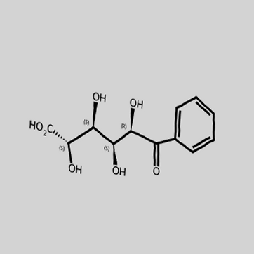 O=C(O)[C@@H](O)[C@@H](O)[C@H](O)[C@@H](O)C(=O)c1ccccc1